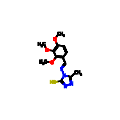 COc1ccc(C=Nn2c(C)nnc2S)c(OC)c1OC